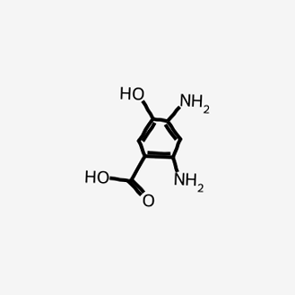 Nc1cc(N)c(C(=O)O)cc1O